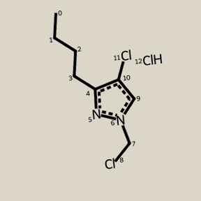 CCCCc1nn(CCl)cc1Cl.Cl